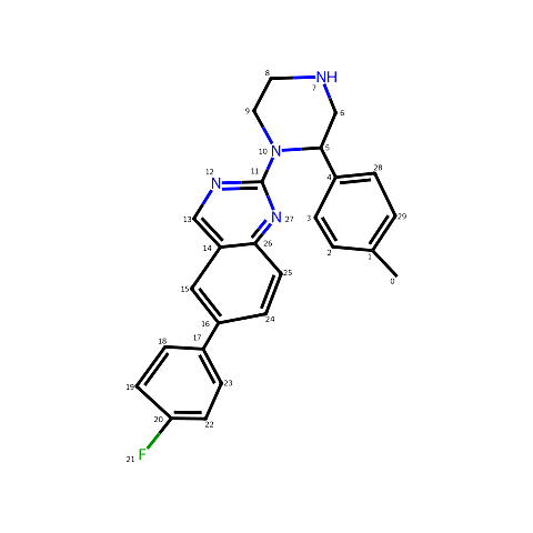 Cc1ccc(C2CNCCN2c2ncc3cc(-c4ccc(F)cc4)ccc3n2)cc1